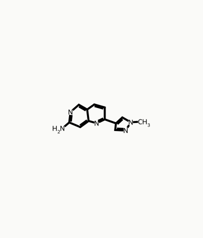 Cn1cc(-c2ccc3cnc(N)cc3n2)cn1